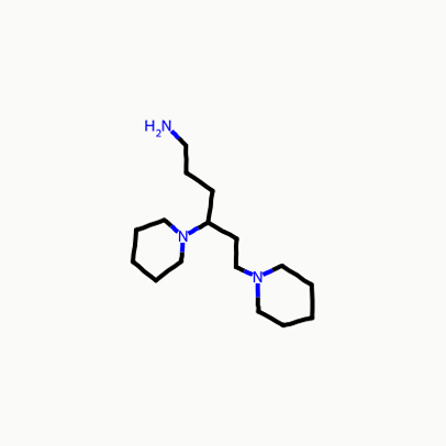 NCCCC(CCN1CCCCC1)N1CCCCC1